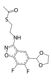 CC(=O)SCCNc1noc2c(F)c(F)c(C3OCCO3)cc12